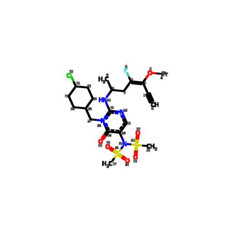 C#C/C(OC(C)C)=C(/F)CC(C)Nc1ncc(N(S(C)(=O)=O)S(C)(=O)=O)c(=O)n1CC1CCC(Cl)CC1